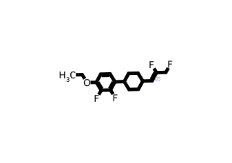 CCOc1ccc(C2CCC(/C=C(\F)CF)CC2)c(F)c1F